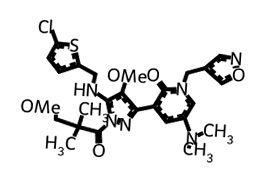 COCC(C)(C)C(=O)n1nc(-c2cc(N(C)C)cn(Cc3cnoc3)c2=O)c(OC)c1NCc1ccc(Cl)s1